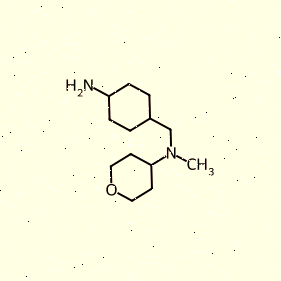 CN(CC1CCC(N)CC1)C1CCOCC1